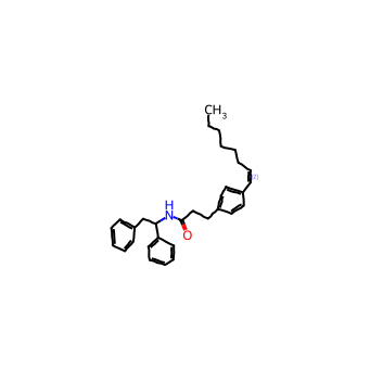 CCCCCC/C=C\c1ccc(CCC(=O)NC(Cc2ccccc2)c2ccccc2)cc1